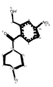 CCN1CCN(C(=O)c2ccc([N+](=O)[O-])cc2CO)CC1